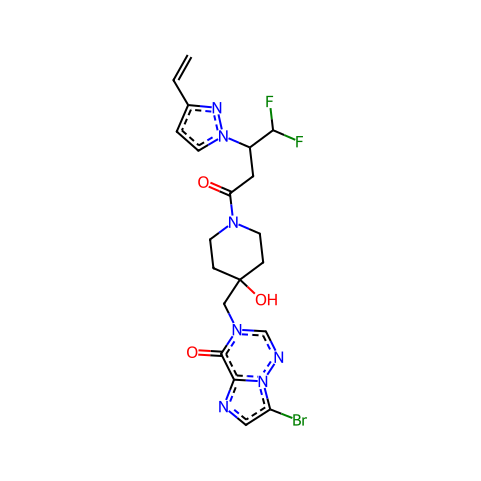 C=Cc1ccn(C(CC(=O)N2CCC(O)(Cn3cnn4c(Br)cnc4c3=O)CC2)C(F)F)n1